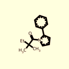 CCC(C)(C)C(=O)n1cccc1-c1ccccc1